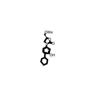 COC[C@@H]1CN(c2ccc(C3CCCCC3)c(O)c2)C(=O)O1